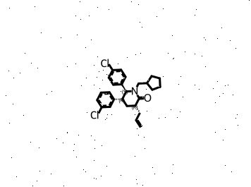 C=CC[C@@H]1C[C@H](c2cccc(Cl)c2)[C@@H](c2ccc(Cl)cc2)N(CC2CCCC2)C1=O